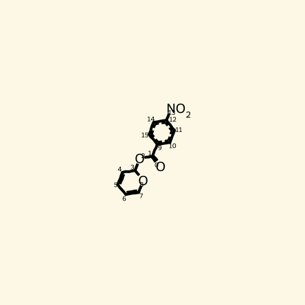 O=C(OC1C=CC=CO1)c1ccc([N+](=O)[O-])cc1